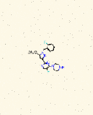 COc1cc(-c2ncc(F)c(N3CCNCC3)n2)nn1Cc1ccccc1F